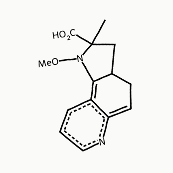 CON1C2=c3cccnc3=CCC2CC1(C)C(=O)O